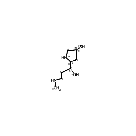 CNCC[C@@H](O)[C@@H]1C[C@H](S)CN1